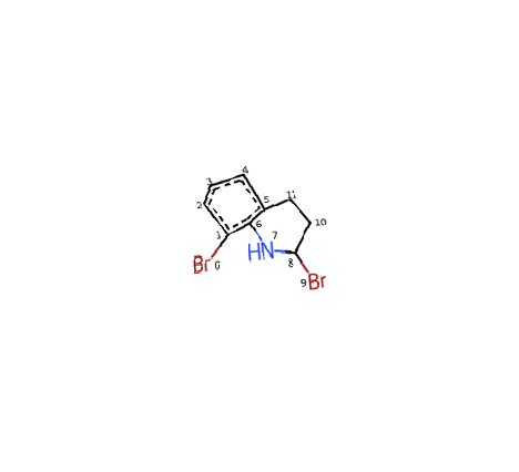 Brc1cccc2c1NC(Br)CC2